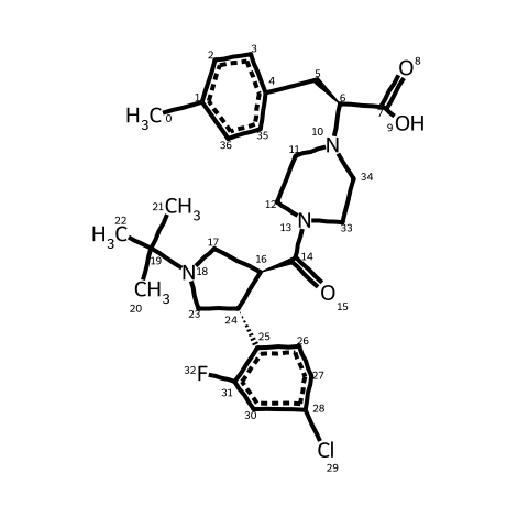 Cc1ccc(C[C@@H](C(=O)O)N2CCN(C(=O)[C@@H]3CN(C(C)(C)C)C[C@H]3c3ccc(Cl)cc3F)CC2)cc1